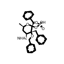 CC(=O)N[C@H]1C[C@@H](C)O[C@](Cc2ccccc2)(OP(=O)(O)O)[C@]1(Cc1ccccc1)OCc1ccccc1